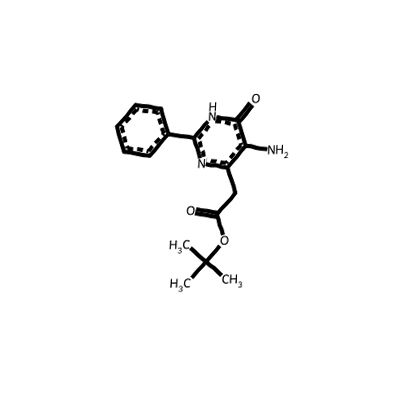 CC(C)(C)OC(=O)Cc1nc(-c2ccccc2)[nH]c(=O)c1N